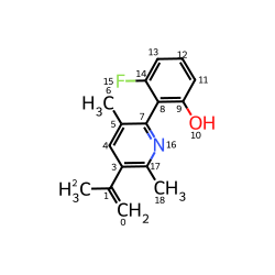 C=C(C)c1cc(C)c(-c2c(O)cccc2F)nc1C